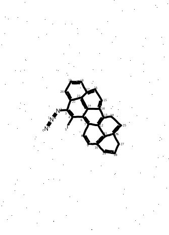 [N-]=[N+]=Nc1c(I)c2c3ccc4c5c3c(c3ccc6cccc1c6c32)CC=C5CC=C4